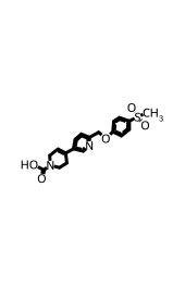 CS(=O)(=O)c1ccc(OCc2ccc(C3=CCN(C(=O)O)CC3)cn2)cc1